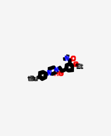 CCOc1ccc(C(O)CN2CCN(c3ccc(C(C)(C)C)cc3)CC2)cc1C(=O)N(C)C